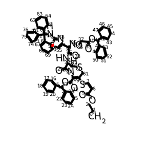 C=CCOC(=O)/C=C\SC1=C(C(=O)OC(c2ccccc2)c2ccccc2)N2C(=O)[C@@H](NC(=O)/C(=N\OCC(=O)OC(c3ccccc3)c3ccccc3)c3csc(NC(c4ccccc4)(c4ccccc4)c4ccccc4)n3)[C@@H]2SC1